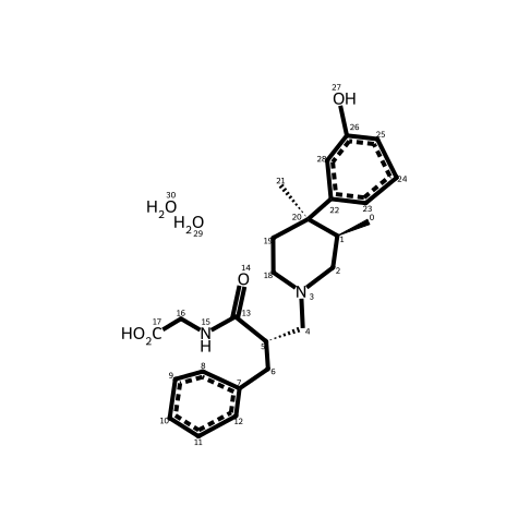 C[C@H]1CN(C[C@H](Cc2ccccc2)C(=O)NCC(=O)O)CC[C@@]1(C)c1cccc(O)c1.O.O